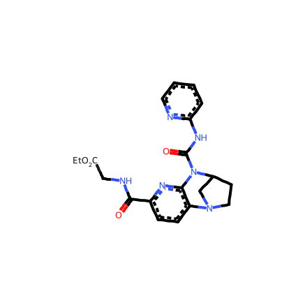 CCOC(=O)CNC(=O)c1ccc2c(n1)N(C(=O)Nc1ccccn1)C1CCN2C1